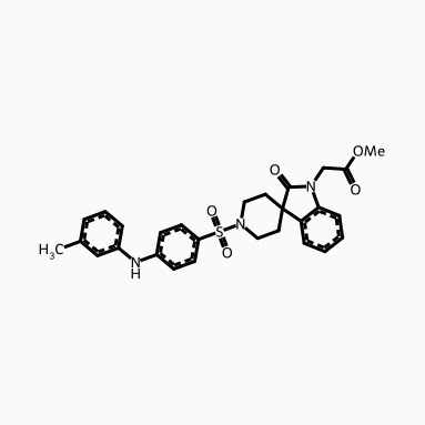 COC(=O)CN1C(=O)C2(CCN(S(=O)(=O)c3ccc(Nc4cccc(C)c4)cc3)CC2)c2ccccc21